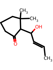 CC=CC(O)C1C(=O)CCCC1(C)C